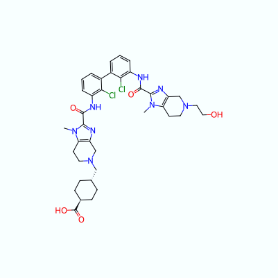 Cn1c(C(=O)Nc2cccc(-c3cccc(NC(=O)c4nc5c(n4C)CCN(C[C@H]4CC[C@H](C(=O)O)CC4)C5)c3Cl)c2Cl)nc2c1CCN(CCO)C2